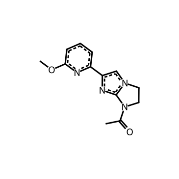 COc1cccc(-c2cn3c(n2)N(C(C)=O)CC3)n1